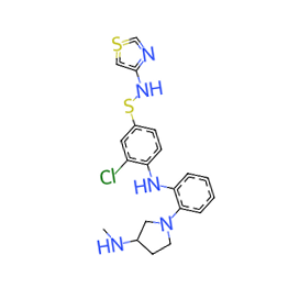 CNC1CCN(c2ccccc2Nc2ccc(SNc3cscn3)cc2Cl)C1